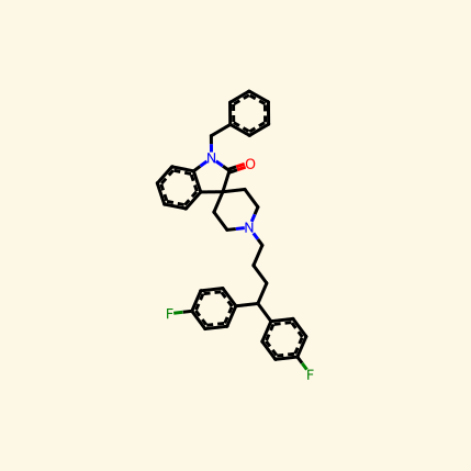 O=C1N(Cc2ccccc2)c2ccccc2C12CCN(CCCC(c1ccc(F)cc1)c1ccc(F)cc1)CC2